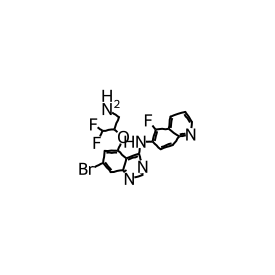 NCC(Oc1cc(Br)cc2ncnc(Nc3ccc4ncccc4c3F)c12)C(F)F